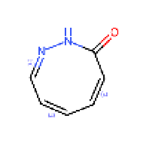 O=C1\C=C/C=C\C=N/N1